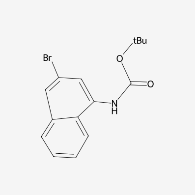 CC(C)(C)OC(=O)Nc1cc(Br)cc2ccccc12